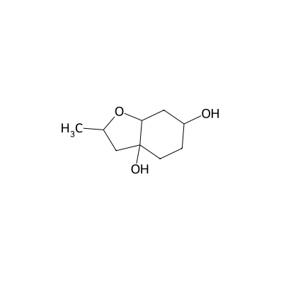 CC1CC2(O)CCC(O)CC2O1